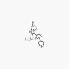 Cl.Cl.c1cc(-c2nc(-c3nnc4n3CCNC4)cs2)ccn1